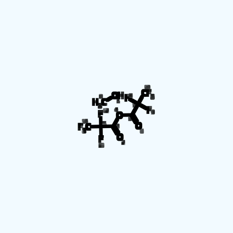 CO.O=C(OC(=O)C(F)(F)C(F)(F)F)C(F)(F)C(F)(F)F